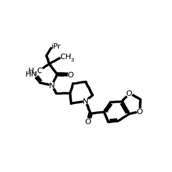 CC(C)CC(C)(C)C(=O)N(C=N)CC1CCCN(C(=O)c2ccc3c(c2)OCO3)C1